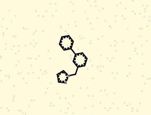 [c]1cnn(Cc2cccc(-c3ccccc3)c2)c1